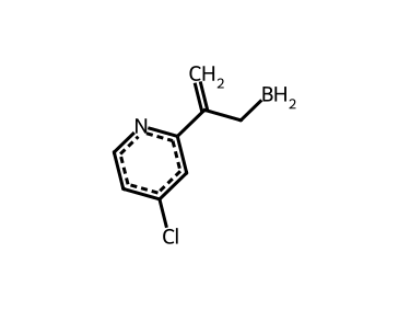 BCC(=C)c1cc(Cl)ccn1